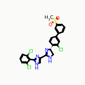 CS(=O)(=O)c1cccc(-c2ccc([C@@H]3CNC(c4c[nH]c(-c5c(Cl)cccc5Cl)n4)=N3)c(Cl)c2)c1